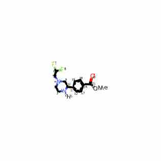 [2H]N1CCN(CC(F)F)CC1c1ccc(C(=O)OC)cc1